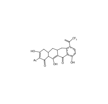 C=C(c1ccc(O)c2c1CC1CC3CC(O)=C(C(C)=O)C(=O)C3C(O)=C1C2=O)C(F)(F)F